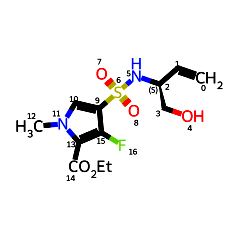 C=C[C@@H](CO)NS(=O)(=O)c1cn(C)c(C(=O)OCC)c1F